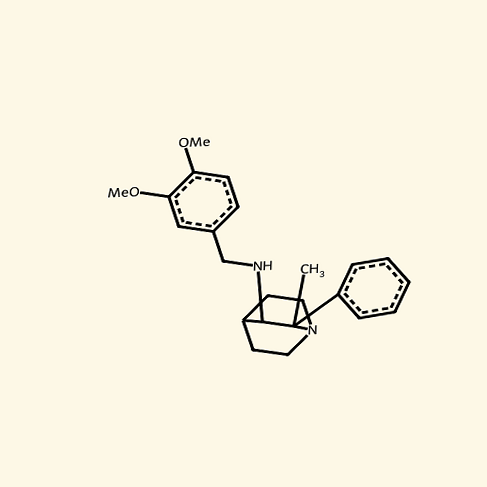 COc1ccc(CNC2C3CCN(CC3)C2(C)c2ccccc2)cc1OC